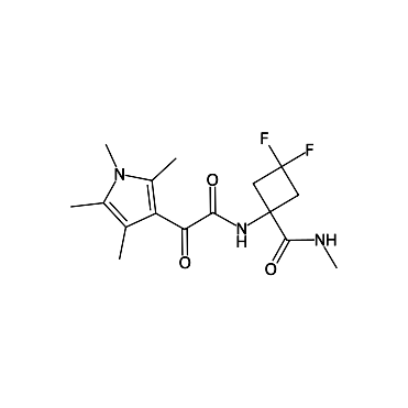 CNC(=O)C1(NC(=O)C(=O)c2c(C)c(C)n(C)c2C)CC(F)(F)C1